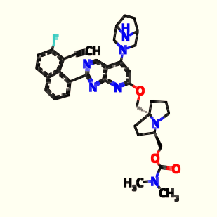 C#Cc1c(F)ccc2cccc(-c3ncc4c(N5CC6CCC(C5)N6)cc(OC[C@]56CCCN5[C@@H](COC(=O)N(C)C)CC6)nc4n3)c12